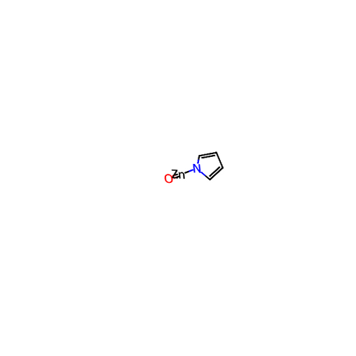 [O]=[Zn][n]1cccc1